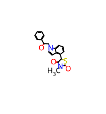 CN1C(=O)SC(c2cccc3c2ccn3CC(=O)c2ccccc2)C1=O